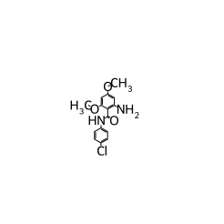 COc1cc(N)c(C(=O)Nc2ccc(Cl)cc2)c(OC)c1